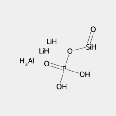 O=[SiH]OP(=O)(O)O.[AlH3].[LiH].[LiH]